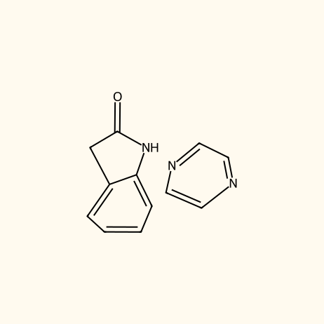 O=C1Cc2ccccc2N1.c1cnccn1